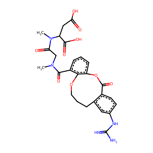 CN(CC(=O)N(C)C(CC(=O)O)C(=O)O)C(=O)c1cccc2c1OCCCc1cc(NC(=N)N)ccc1C(=O)O2